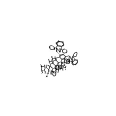 NC(=O)C1=C(O)C[C@@H]2C[C@@H]3Cc4c(CN5C(=O)c6ccccc6C5=O)cc(CN5C(=O)c6ccccc6C5=O)c(O)c4C(=O)C3=C(O)[C@]2(O)C1=O